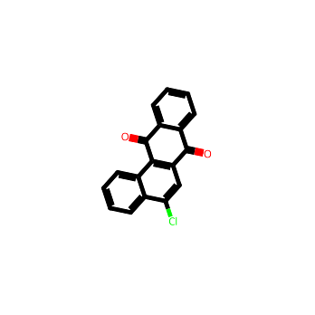 O=C1c2ccccc2C(=O)c2c1cc(Cl)c1ccccc21